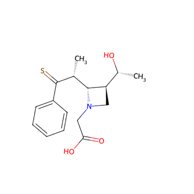 C[C@@H](O)[C@H]1CN(CC(=O)O)[C@@H]1[C@@H](C)C(=S)c1ccccc1